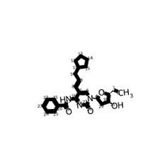 CC[C@H]1O[C@@H](n2cc(/C=C/CC3CCCC3)c(NC(=O)c3ccccc3)nc2=O)C[C@H]1O